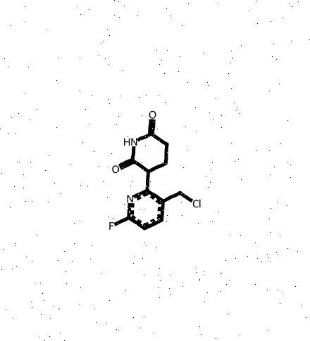 O=C1CCC(c2nc(F)ccc2CCl)C(=O)N1